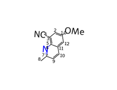 COc1cc(C#N)c2nc(C)ccc2c1